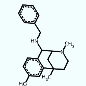 CN1CCC2(C)CC1C(NCc1ccccc1)c1ccc(O)cc12